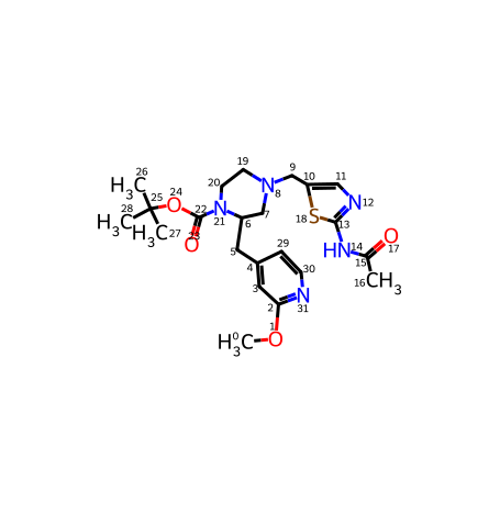 COc1cc(CC2CN(Cc3cnc(NC(C)=O)s3)CCN2C(=O)OC(C)(C)C)ccn1